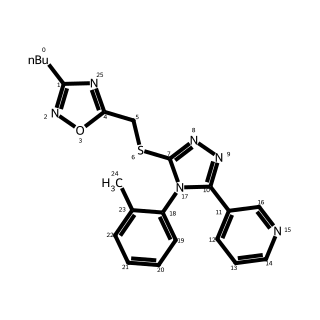 CCCCc1noc(CSc2nnc(-c3cccnc3)n2-c2ccccc2C)n1